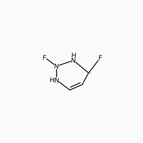 F[C]1C=CNN(F)N1